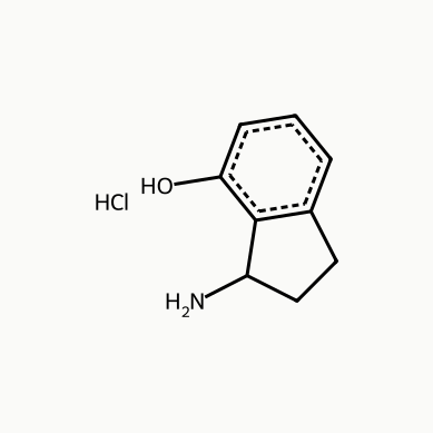 Cl.NC1CCc2cccc(O)c21